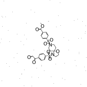 COC(=O)c1ccc(S(=O)(=O)N2CCC3(CC2)OCCN3S(=O)(=O)c2ccc(C(=O)C=O)cc2)cc1